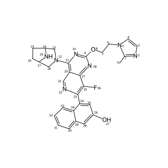 Cc1nccn1CCOc1nc(N2CC3CCC(C2)N3)c2cnc(-c3cc(O)cc4ccccc34)c(F)c2n1